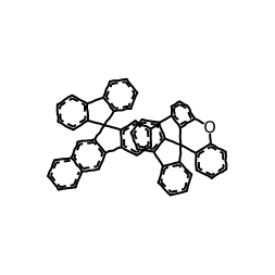 c1ccc2c(c1)Oc1cccc(-c3ccc4c(c3)C3(c5ccccc5-c5ccccc53)c3cc5ccccc5cc3-4)c1C21c2ccccc2-c2ccccc21